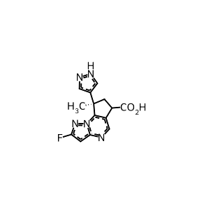 C[C@]1(c2cn[nH]c2)CC(C(=O)O)c2cnc3cc(F)nn3c21